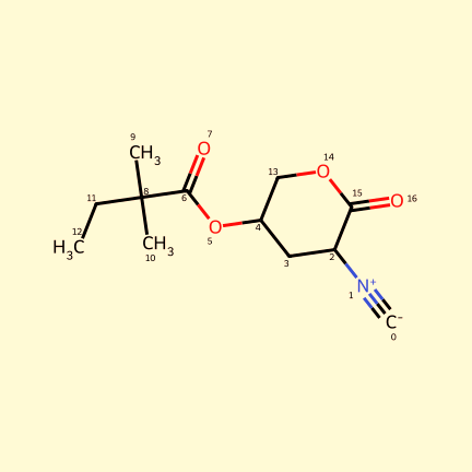 [C-]#[N+]C1CC(OC(=O)C(C)(C)CC)COC1=O